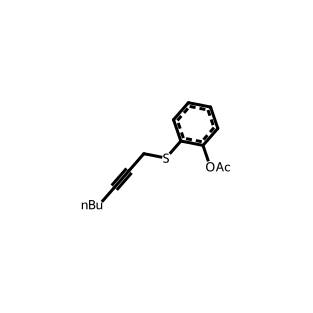 CCCCC#CCSc1ccccc1O[11C](C)=O